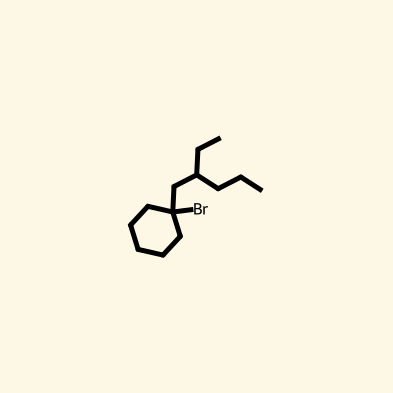 CCCC(CC)CC1(Br)CCCCC1